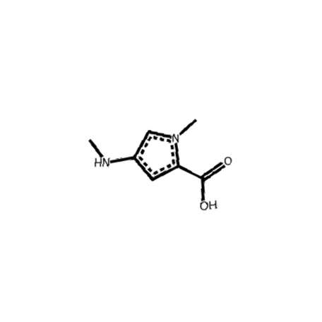 CNc1cc(C(=O)O)n(C)c1